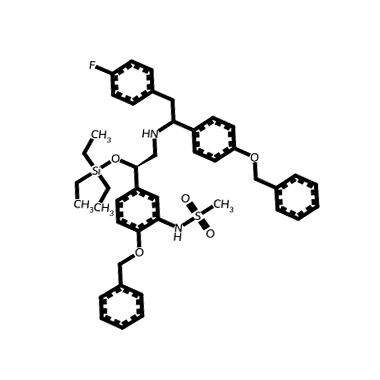 CC[Si](CC)(CC)O[C@@H](CNC(Cc1ccc(F)cc1)c1ccc(OCc2ccccc2)cc1)c1ccc(OCc2ccccc2)c(NS(C)(=O)=O)c1